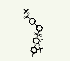 C[C@@H]1CN(c2ccc(F)cc2C(F)(F)F)CCN1S(=O)(=O)c1cccc(C2=CCN(C(=O)OC(C)(C)C)CC2)c1